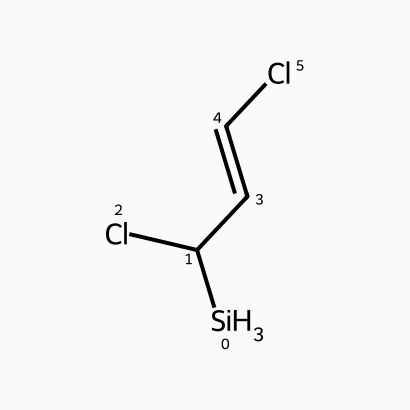 [SiH3]C(Cl)C=CCl